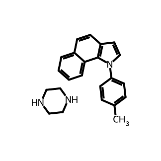 C1CNCCN1.Cc1ccc(-n2ccc3ccc4ccccc4c32)cc1